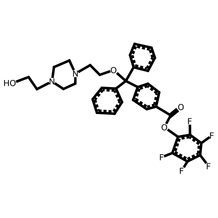 O=C(Oc1c(F)c(F)c(F)c(F)c1F)c1ccc(C(OCCN2CCN(CCO)CC2)(c2ccccc2)c2ccccc2)cc1